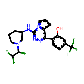 Oc1cc(C(F)(F)F)ccc1-c1nnc(N[C@@H]2CCCN(C(F)C(F)F)C2)n2cccc12